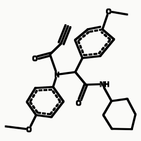 C#CC(=O)N(c1ccc(OC)cc1)C(C(=O)NC1CCCCC1)c1ccc(OC)cc1